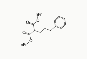 CCCOC(=O)C(CCCc1ccccc1)C(=O)OCCC